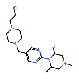 CCC1CN(C)CC(C)N1c1ncc(CN2CCN(CCC(C)C)CC2)cn1